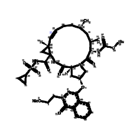 COCCn1nc(O[C@@H]2C[C@H]3C(=O)N[C@]4(C(=O)NS(=O)(=O)C5CC5)C[C@H]4/C=C\CC[C@H](C)C[C@@H](C)[C@H](NC(=O)OC(C)(C)C)C(=O)N3C2)c2ccccc2c1=O